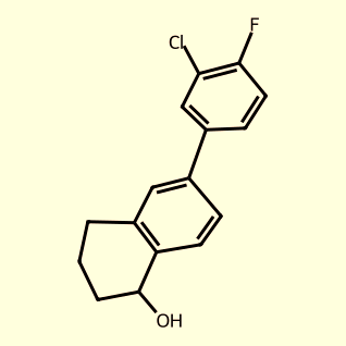 OC1CCCc2cc(-c3ccc(F)c(Cl)c3)ccc21